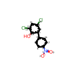 O=[N+]([O-])c1ccc(-c2cc(Cl)cc(Cl)c2O)cc1